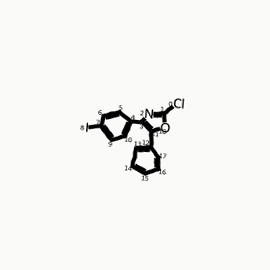 Clc1nc(-c2ccc(I)cc2)c(-c2ccccc2)o1